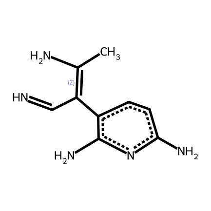 C/C(N)=C(/C=N)c1ccc(N)nc1N